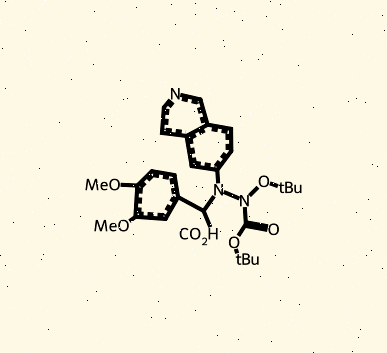 COc1ccc(C(C(=O)O)N(c2ccc3cnccc3c2)N(OC(C)(C)C)C(=O)OC(C)(C)C)cc1OC